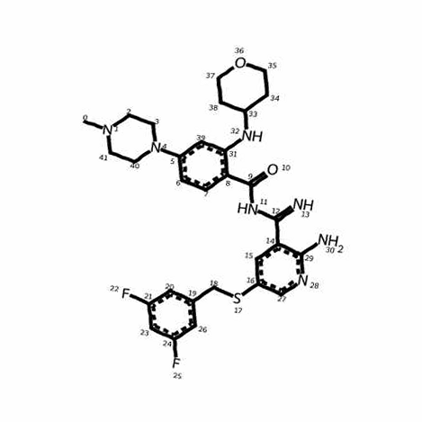 CN1CCN(c2ccc(C(=O)NC(=N)c3cc(SCc4cc(F)cc(F)c4)cnc3N)c(NC3CCOCC3)c2)CC1